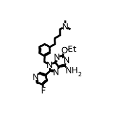 CCOc1nc(N)c2nc(-c3cncc(F)c3)n(CC3=CC(CCCCN(C)C)CC=C3)c2n1